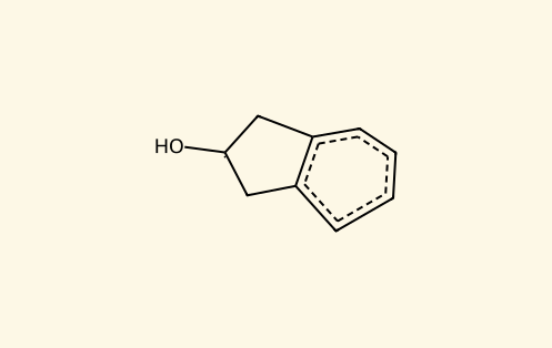 O[C]1Cc2ccccc2C1